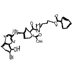 O=C(OCCCNC(=O)C1CC(Nc2cnc3ccc(Br)c(O)c3n2)CCN1C(=O)O)c1ccccc1